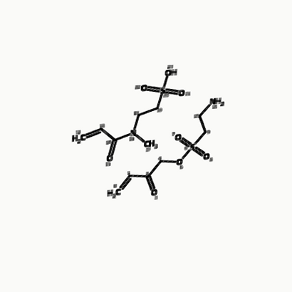 C=CC(=O)COS(=O)(=O)CCN.C=CC(=O)N(C)CCS(=O)(=O)O